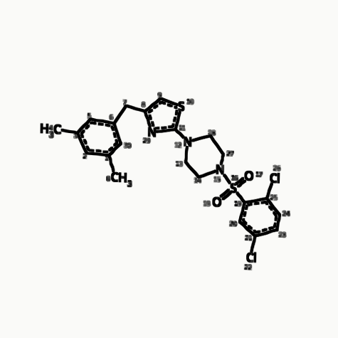 Cc1cc(C)cc(Cc2csc(N3CCN(S(=O)(=O)c4cc(Cl)ccc4Cl)CC3)n2)c1